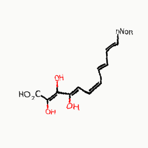 CCCCCCCCC/C=C/C=C/C=C\C=C(O)C(O)=C(O)C(=O)O